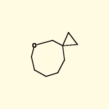 C1CCOCC2(CC1)CC2